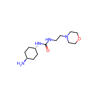 N[C@H]1CC[C@H](NC(=O)NCCN2CCOCC2)CC1